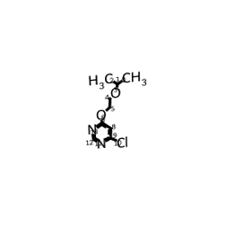 CC(C)OCCOc1cc(Cl)ncn1